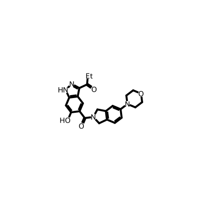 CCC(=O)c1n[nH]c2cc(O)c(C(=O)N3Cc4ccc(N5CCOCC5)cc4C3)cc12